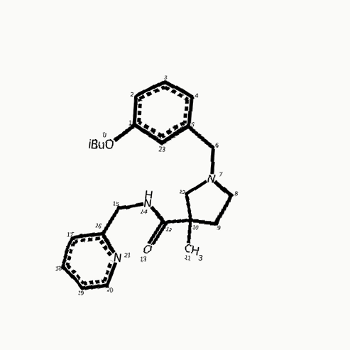 CC(C)COc1cccc(CN2CCC(C)(C(=O)NCc3ccccn3)C2)c1